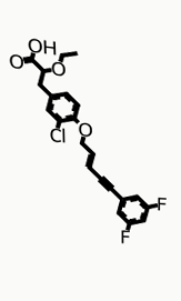 CCOC(Cc1ccc(OCC=CC#Cc2cc(F)cc(F)c2)c(Cl)c1)C(=O)O